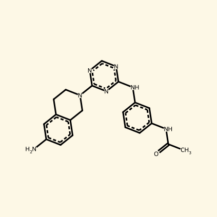 CC(=O)Nc1cccc(Nc2ncnc(N3CCc4cc(N)ccc4C3)n2)c1